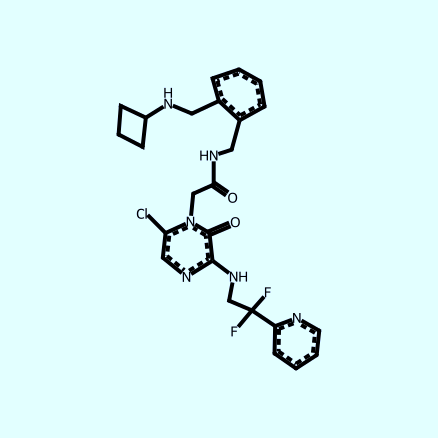 O=C(Cn1c(Cl)cnc(NCC(F)(F)c2ccccn2)c1=O)NCc1ccccc1CNC1CCC1